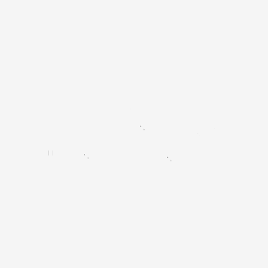 CNCCN(C)C1=NOC(=O)C1